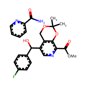 COC(=O)c1ncc(C(O)c2ccc(F)cc2)c2c1OC(C)(C)OC2.NC(=O)c1ccccn1